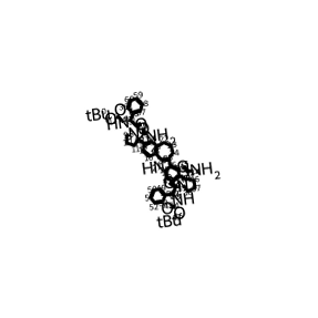 CC(C)(C)OC(=O)N[C@@H](C(=O)N1CCC[C@@]1(C(N)=O)c1ccc2c(c1)CCCc1c-2[nH]c2ccc([C@]3(C(N)=O)CCCN3C(=O)[C@H](NC(=O)OC(C)(C)C)c3ccccc3)cc12)c1ccccc1